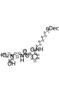 CCCCCCCCCCCCCCCCCCNC(=O)c1ccccc1COC(=O)NCCCN(CCO)CCO